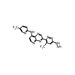 CCCNc1cc(C(F)(F)F)c(-c2cnc3c(Nc4ccc(C(F)(F)F)cn4)ccnc3n2)nn1